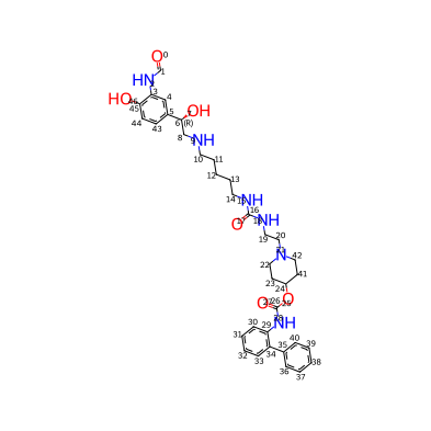 O=CNc1cc([C@@H](O)CNCCCCCNC(=O)NCCN2CCC(OC(=O)Nc3ccccc3-c3ccccc3)CC2)ccc1O